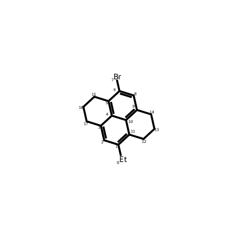 CCc1cc2c3c(c(Br)cc4c3c1CCC4)CCC2